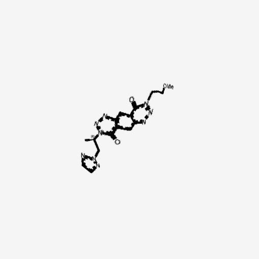 COCCn1nnc2cc3c(=O)n([C@H](C)Cn4nccn4)nnc3cc2c1=O